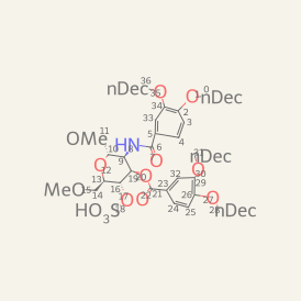 CCCCCCCCCCOc1ccc(C(=O)N[C@@H]2[C@@H](OC)O[C@H](COC)[C@@H](OS(=O)(=O)O)[C@@H]2OC(=O)c2ccc(OCCCCCCCCCC)c(OCCCCCCCCCC)c2)cc1OCCCCCCCCCC